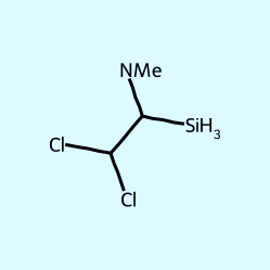 CNC([SiH3])C(Cl)Cl